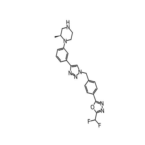 C[C@H]1CNCCN1c1cccc(-c2cn(Cc3ccc(-c4nnc(C(F)F)o4)cc3)nn2)c1